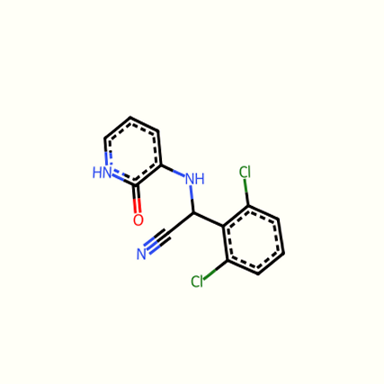 N#CC(Nc1ccc[nH]c1=O)c1c(Cl)cccc1Cl